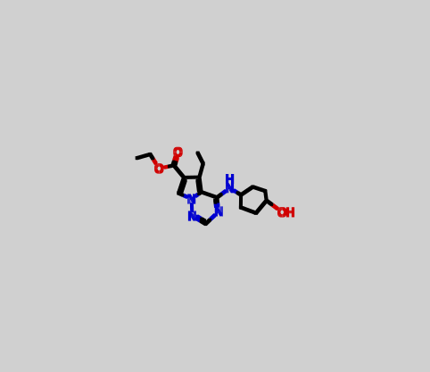 CCOC(=O)c1cn2ncnc(NC3CCC(O)CC3)c2c1CC